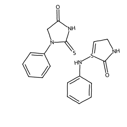 O=C1CN(c2ccccc2)C(=S)N1.O=C1NCC=S1Nc1ccccc1